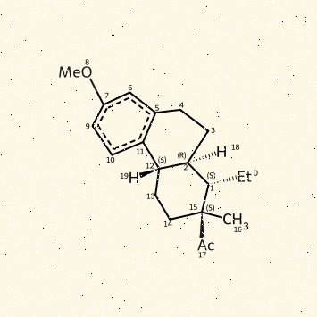 CC[C@H]1[C@@H]2CCc3cc(OC)ccc3[C@H]2CC[C@]1(C)C(C)=O